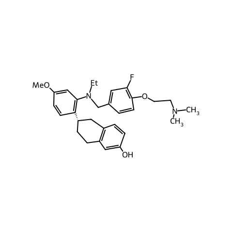 CCN(Cc1ccc(OCCN(C)C)c(F)c1)c1cc(OC)ccc1[C@H]1CCc2cc(O)ccc2C1